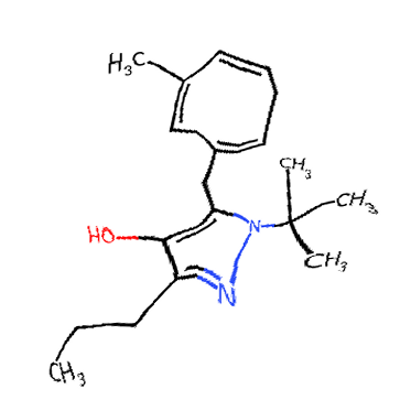 CCCc1nn(C(C)(C)C)c(-c2cccc(C)c2)c1O